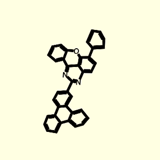 c1ccc(-c2ccc3nc(-c4ccc5c6ccccc6c6ccccc6c5c4)nc4c3c2Oc2ccccc2-4)cc1